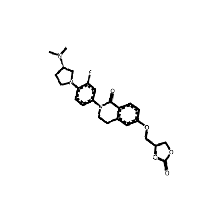 CN(C)[C@@H]1CCN(c2ccc(N3CCc4cc(OCC5COC(=O)O5)ccc4C3=O)cc2F)C1